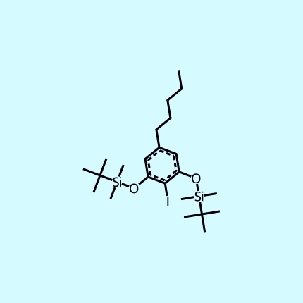 CCCCCc1cc(O[Si](C)(C)C(C)(C)C)c(I)c(O[Si](C)(C)C(C)(C)C)c1